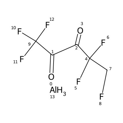 O=C(C(=O)C(F)(F)CF)C(F)(F)F.[AlH3]